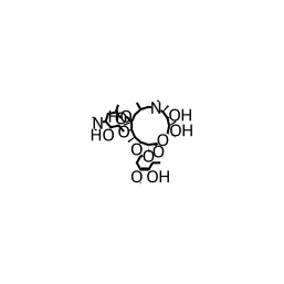 COC1=C(O)C(C)OC(O[C@@H]2[C@@H](C)[C@@H](OC3OC(C)CC(N(C)C)C3O)[C@](C)(O)CC(C)CN(C)[C@@H](C)[C@H](O)[C@](C)(O)[C@H](C)OC(=O)[C@@H]2C)C1